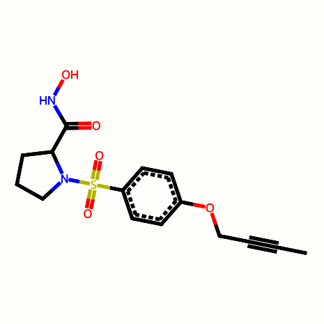 CC#CCOc1ccc(S(=O)(=O)N2CCCC2C(=O)NO)cc1